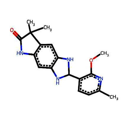 COc1nc(C)ccc1C1Nc2cc3c(cc2N1)C(C)(C)C(=O)N3